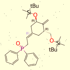 C=C1[C@H](CO[Si](C)(C)C(C)(C)C)C/C(=C\CP(=O)(c2ccccc2)c2ccccc2)C[C@H]1O[Si](C)(C)C(C)(C)C